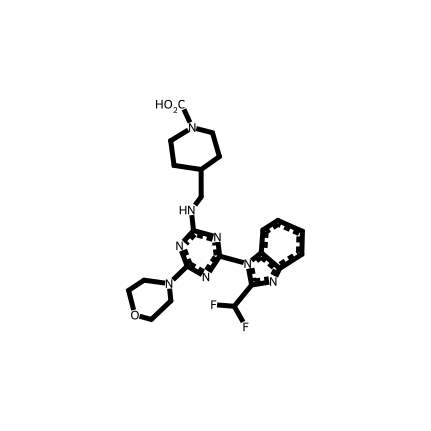 O=C(O)N1CCC(CNc2nc(N3CCOCC3)nc(-n3c(C(F)F)nc4ccccc43)n2)CC1